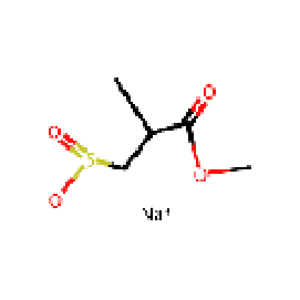 COC(=O)C(C)CS(=O)[O-].[Na+]